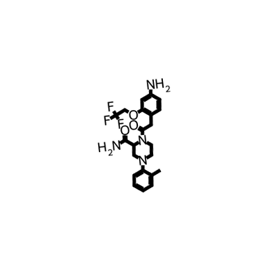 Cc1ccccc1N1CCN(C(=O)Cc2ccc(N)cc2OCC(F)(F)F)C(C(N)=O)C1